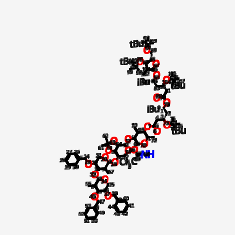 CC[C@H](C)[C@H](C[C@@H](CC(=O)O[C@@H]1C(C)C(O[C@@H]2O[C@H](C)[C@H](O[C@@H]3OC[C@@H](OCc4ccccc4)C(O[C@@H]4OC[C@@H](OCc5ccccc5)C(OCc5ccccc5)C4C)C3C)C3OC(C)(C)OC32)[C@@H](OC(=N)C(Cl)(Cl)Cl)O[C@@H]1C)O[Si](C)(C)C(C)(C)C)OC(=O)C[C@H](C[C@H](O[C@@H]1O[C@@H](CO[Si](C)(C)C(C)(C)C)C(O[Si](C)(C)C(C)(C)C)C1C)[C@@H](C)CC)O[Si](C)(C)C(C)(C)C